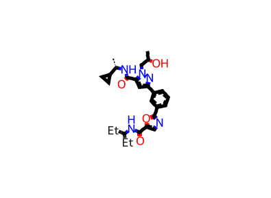 CCC(CC)NC(=O)c1cnc(-c2cccc(-c3cc(C(=O)N[C@@H](C)C4CC4)n(CC(C)O)n3)c2)o1